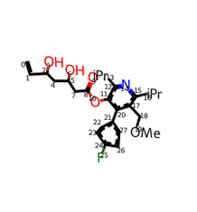 C=CC(O)CC(O)CC(=O)Oc1c(C(C)C)nc(C(C)C)c(COC)c1-c1ccc(F)cc1